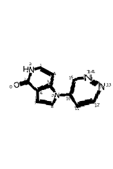 O=c1[nH]ccc2c1ccn2-c1ccnnc1